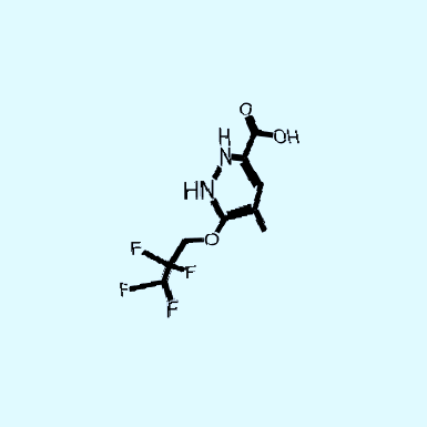 CC1=C(OCC(F)(F)C(F)F)NNC(C(=O)O)=C1